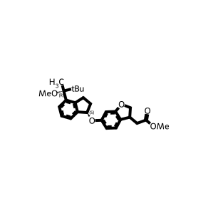 COC(=O)CC1COc2cc(O[C@H]3CCc4c3cccc4[C@](C)(OC)C(C)(C)C)ccc21